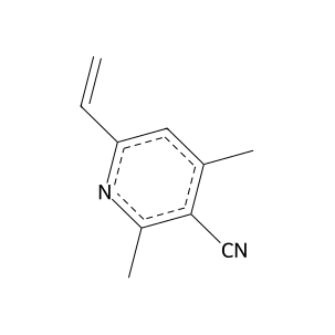 C=Cc1cc(C)c(C#N)c(C)n1